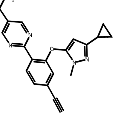 C#Cc1ccc(-c2ncc(CN)cn2)c(Oc2cc(C3CC3)nn2C)c1